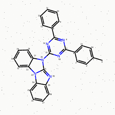 Cc1ccc(-c2nc(-c3ccccc3)nc(-n3c4ccccc4n4c5ccccc5nc34)n2)cc1